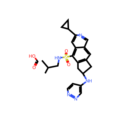 CC(C)CNS(=O)(=O)c1c2c(cc3cnc(C4CC4)cc13)CC(Nc1ccnnc1)C2.O=CO